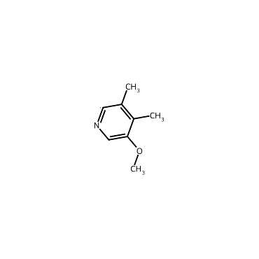 COc1cn[c]c(C)c1C